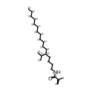 C=C(C)C(=O)NCCCCC(CCCCCCCCCCCC)C(C)C